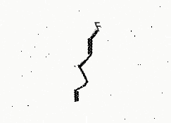 C=CC[CH]C=CF